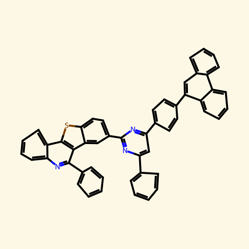 c1ccc(-c2cc(-c3ccc(-c4cc5ccccc5c5ccccc45)cc3)nc(-c3ccc4sc5c6ccccc6nc(-c6ccccc6)c5c4c3)n2)cc1